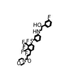 O=C(/C=C/c1ccc(Sc2cccc(NCC(O)c3cccc(F)c3)c2)c(C(F)(F)F)c1C(F)(F)F)N1CCOCC1